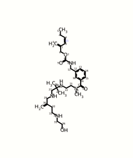 C=C(/C=C\CC)COC(=O)NCc1cccc(C(=O)N(C)CCNC(C)(C)CNCC(=C)CCNCCO)c1